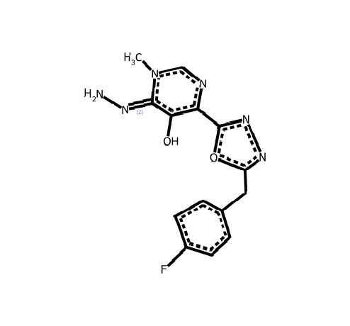 Cn1cnc(-c2nnc(Cc3ccc(F)cc3)o2)c(O)/c1=N/N